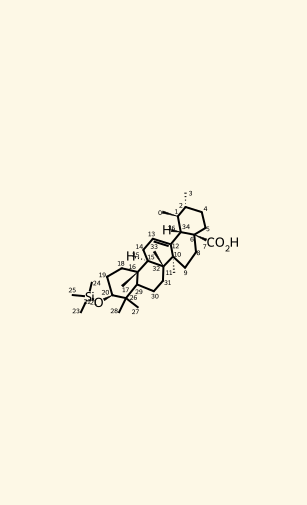 C[C@H]1[C@H](C)CC[C@]2(C(=O)O)CC[C@]3(C)C(=CC[C@@H]4[C@@]5(C)CC[C@H](O[Si](C)(C)C)C(C)(C)C5CC[C@]43C)[C@H]12